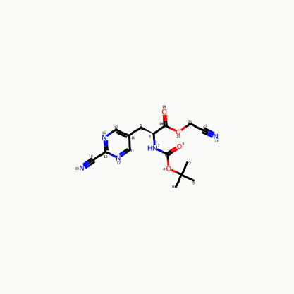 CC(C)(C)OC(=O)N[C@@H](Cc1cnc(C#N)nc1)C(=O)OCC#N